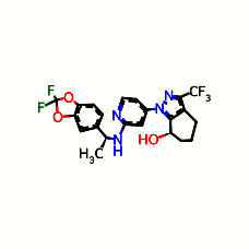 C[C@H](Nc1cc(-n2nc(C(F)(F)F)c3c2[C@H](O)CCC3)ccn1)c1ccc2c(c1)OC(F)(F)O2